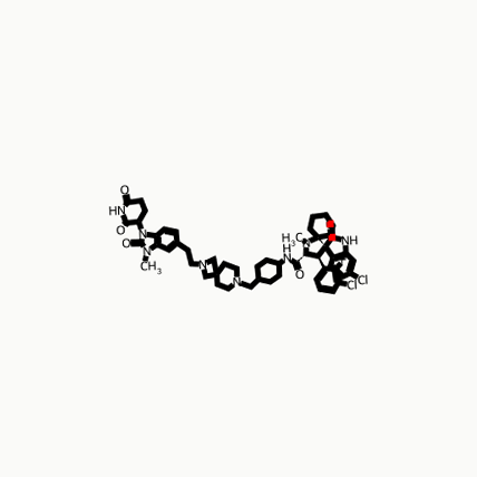 CN1[C@@H](C(=O)NC2CCC(CN3CCC4(CC3)CN(CCc3ccc5c(c3)n(C)c(=O)n5C3CCC(=O)NC3=O)C4)CC2)[C@H](c2cccc(Cl)c2F)[C@]2(C(=O)Nc3cc(Cl)ccc32)C12CCCCC2